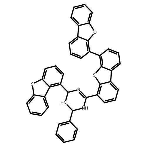 c1ccc(C2NC(c3cccc4c3sc3c(-c5cccc6c5oc5ccccc56)cccc34)=NC(c3cccc4sc5ccccc5c34)N2)cc1